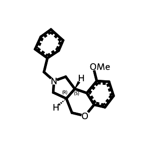 COc1cccc2c1[C@H]1CN(Cc3ccccc3)C[C@@H]1CO2